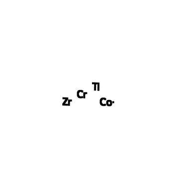 [Co].[Cr].[Ti].[Zr]